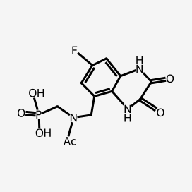 CC(=O)N(Cc1cc(F)cc2[nH]c(=O)c(=O)[nH]c12)CP(=O)(O)O